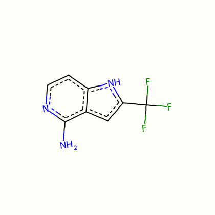 Nc1nccc2[nH]c(C(F)(F)F)cc12